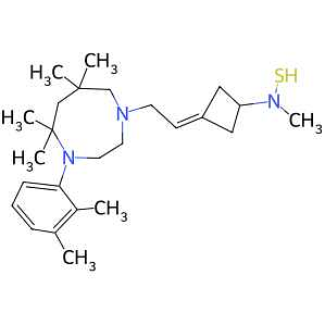 Cc1cccc(N2CCN(CC=C3CC(N(C)S)C3)CC(C)(C)CC2(C)C)c1C